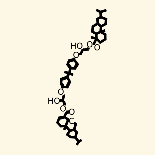 CC(C)C1CCC2C(CCC3C(C(=O)OCC(O)COc4ccc(C(C)(C)c5ccc(OCC(O)COC(=O)C6(C)CCCC7(C)C8CCC(C(C)C)CC8CCC67)cc5)cc4)=CCCC32C)C1